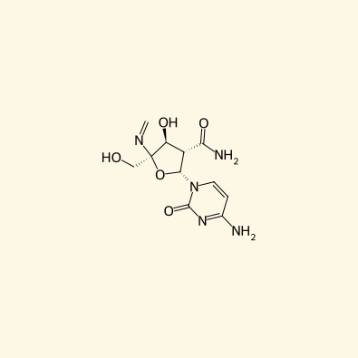 C=N[C@]1(CO)O[C@@H](n2ccc(N)nc2=O)[C@@H](C(N)=O)[C@@H]1O